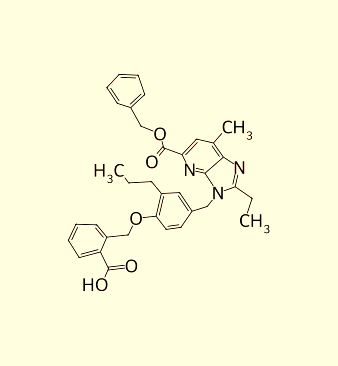 CCCc1cc(Cn2c(CC)nc3c(C)cc(C(=O)OCc4ccccc4)nc32)ccc1OCc1ccccc1C(=O)O